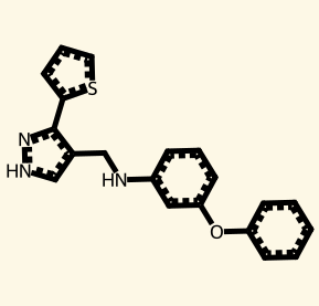 c1ccc(Oc2cccc(NCc3c[nH]nc3-c3cccs3)c2)cc1